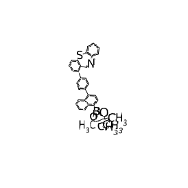 CC1(C)OB(c2ccc(-c3ccc(-c4cccc5c4C=Nc4ccccc4S5)cc3)c3ccccc23)OC1(C)C